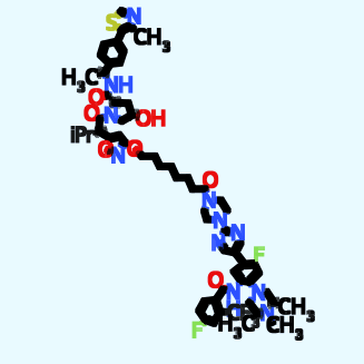 Cc1ncsc1-c1ccc([C@H](C)NC(=O)[C@@H]2C[C@@H](O)CN2C(=O)[C@@H](c2cc(OCCCCCCCC(=O)N3CCN(c4ncc(-c5cc(NC(=O)c6ccc(F)cc6C(F)(F)F)c(N6C[C@@H](C)N(C)[C@@H](C)C6)cc5F)cn4)CC3)no2)C(C)C)cc1